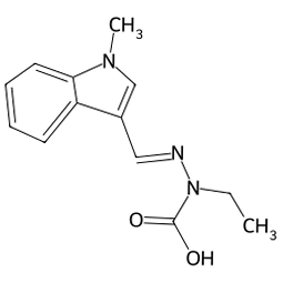 CCN(N=Cc1cn(C)c2ccccc12)C(=O)O